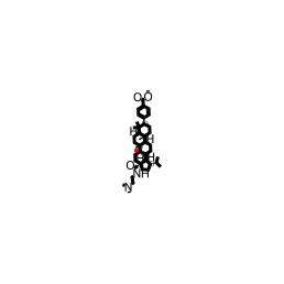 COC(=O)c1ccc([C@H]2CC[C@]3(C)[C@H]4CC[C@@H]5[C@H]6[C@H](C(C)C)CC[C@]6(C(=O)NCCN(C)C)CC[C@@]5(C)[C@]4(C)CC[C@H]3C2(C)C)cc1